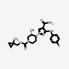 CC1(COC(=O)N2CC[C@@H](n3cc(C(N)=O)c(Nc4ccc(F)cc4)n3)[C@@H](C#N)C2)CC1